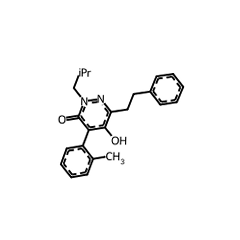 Cc1ccccc1-c1c(O)c(CCc2ccccc2)nn(CC(C)C)c1=O